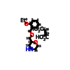 CCOc1ccccc1COCC1CNCCO1.O=C(O)/C=C\C(=O)O